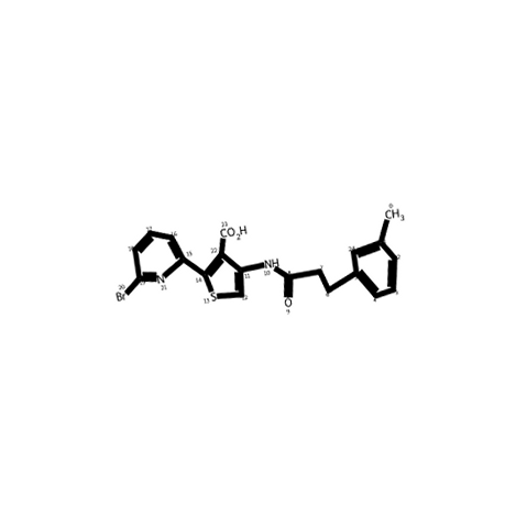 Cc1cccc(CCC(=O)Nc2csc(-c3cccc(Br)n3)c2C(=O)O)c1